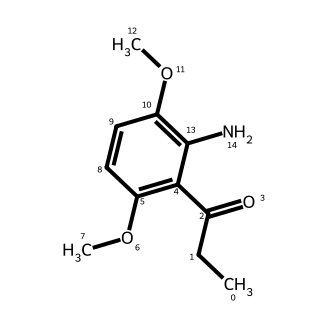 CCC(=O)c1c(OC)ccc(OC)c1N